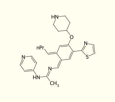 CCC\C=c1/cc(OC2CCNCC2)c(-c2nccs2)c/c1=C/N=C(\C)Nc1ccncc1